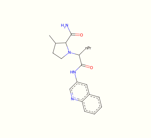 CCCC(C(=O)Nc1cnc2ccccc2c1)N1CCC(C)C1C(N)=O